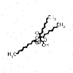 CCCCCCCCCC(=O)OC(C(=O)CCCCCCC)(C(=O)CCCCCCC)C(O)CO